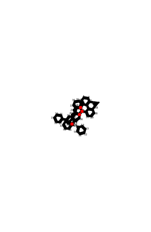 C1=C2c3cccc(-c4ccc(-c5cccc(-c6ccccc6)c5)cc4)c3-c3c(cccc3-n3c4ccccc4c4cc5c6ccccc6n(-c6ccccc6)c5cc43)C12